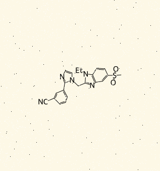 CCn1c(Cn2ccnc2-c2cccc(C#N)c2)nc2cc(S(C)(=O)=O)ccc21